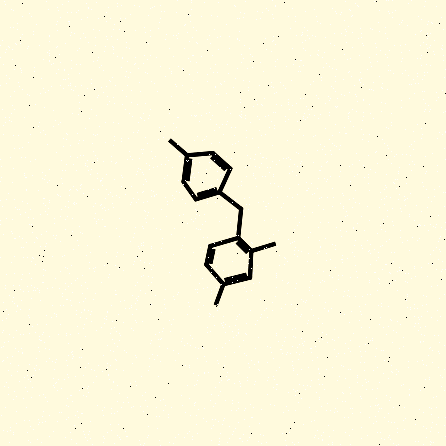 Cc1ccc(Cc2ccc(C)cc2C)cc1